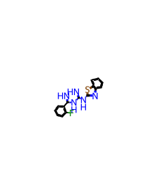 N=C(NC(=N)c1ccccc1F)Nc1nc2ccccc2s1